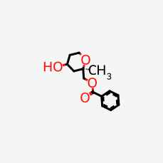 C[C@]1(COC(=O)c2ccccc2)CC(O)CCO1